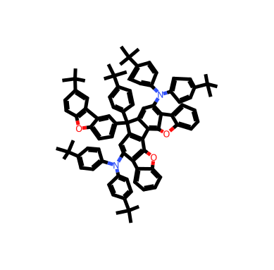 CC(C)(C)c1ccc(N(c2ccc(C(C)(C)C)cc2)c2cc3c(c4oc5ccccc5c24)-c2c(cc(N(c4ccc(C(C)(C)C)cc4)c4ccc(C(C)(C)C)cc4)c4c2oc2ccccc24)C3(c2ccc(C(C)(C)C)cc2)c2ccc3oc4ccc(C(C)(C)C)cc4c3c2)cc1